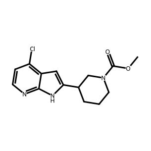 COC(=O)N1CCCC(c2cc3c(Cl)ccnc3[nH]2)C1